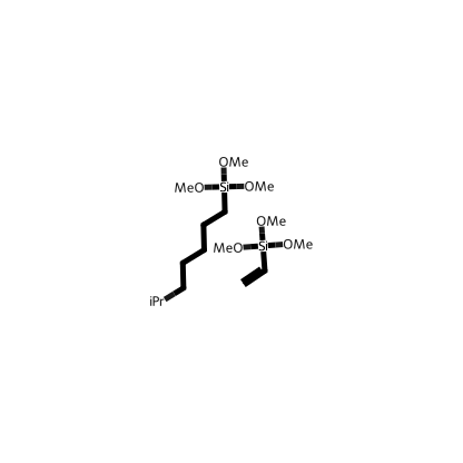 C=C[Si](OC)(OC)OC.CO[Si](CCCCCC(C)C)(OC)OC